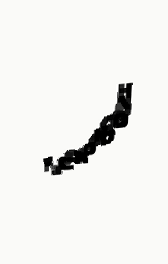 O=c1cc(OCc2ccc(C(F)(F)F)cn2)ccn1-c1ccc2c3c(oc2c1)CCNC3